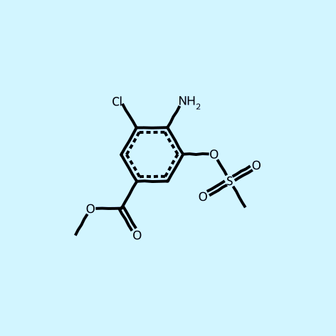 COC(=O)c1cc(Cl)c(N)c(OS(C)(=O)=O)c1